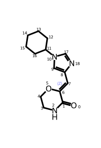 O=C1NCCO/C1=C\c1cn(C2CCCCC2)cn1